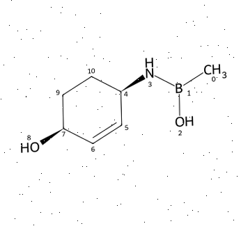 CB(O)N[C@H]1C=C[C@@H](O)CC1